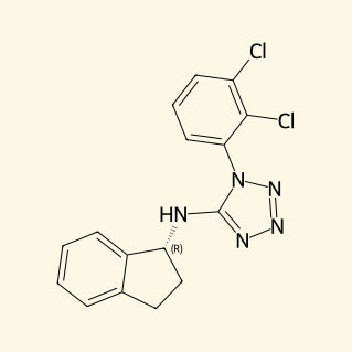 Clc1cccc(-n2nnnc2N[C@@H]2CCc3ccccc32)c1Cl